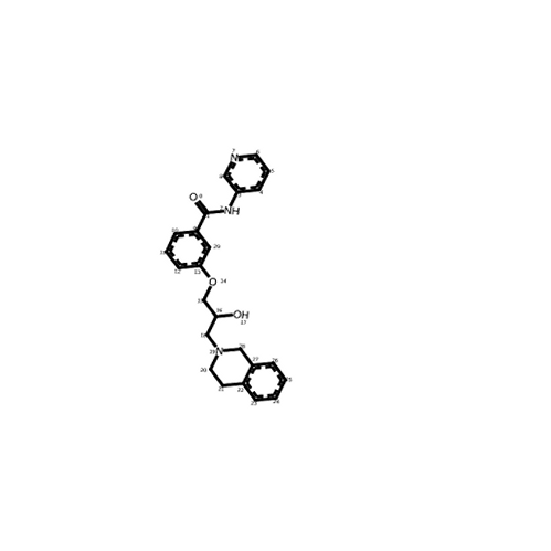 O=C(Nc1cccnc1)c1cccc(OCC(O)CN2CCc3ccccc3C2)c1